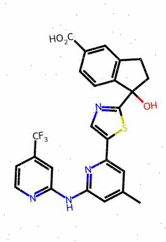 Cc1cc(Nc2cc(C(F)(F)F)ccn2)nc(-c2cnc(C3(O)CCc4cc(C(=O)O)ccc43)s2)c1